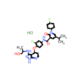 CC(CO)Nc1n[nH]c2nccc(Oc3ccc(NC(=O)c4cc(C(C)C)cn(-c5ccc(F)cc5)c4=O)cc3F)c12.Cl